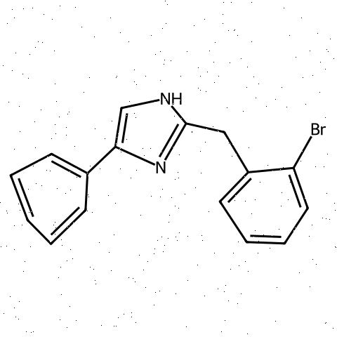 Brc1ccccc1Cc1nc(-c2ccccc2)c[nH]1